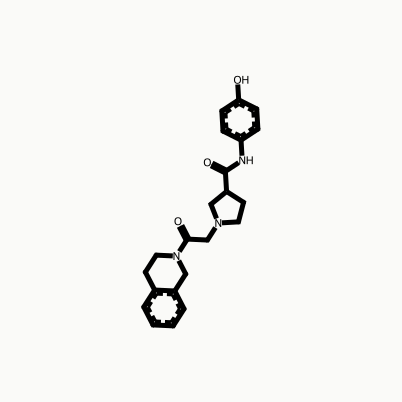 O=C(Nc1ccc(O)cc1)C1CCN(CC(=O)N2CCc3ccccc3C2)C1